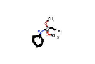 CC[Si](Nc1ccccc1)(OC)OC